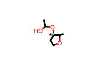 CC(O)O[C@@H]1CCOC1C